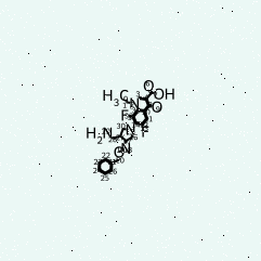 CCn1cc(C(=O)O)c(=O)c2cc(F)c(N3CC(=NOCc4ccccc4)C(CN)C3)c(F)c21